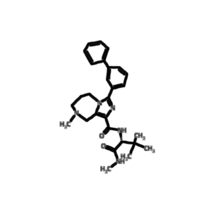 CNC(=O)[C@@H](NC(=O)c1nc(-c2cccc(-c3ccccc3)c2)n2c1CN(C)CCC2)C(C)(C)C